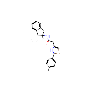 Cc1ccc(-c2nc(CC(=O)NC3(C(=O)O)Cc4ccccc4C3)cs2)cc1